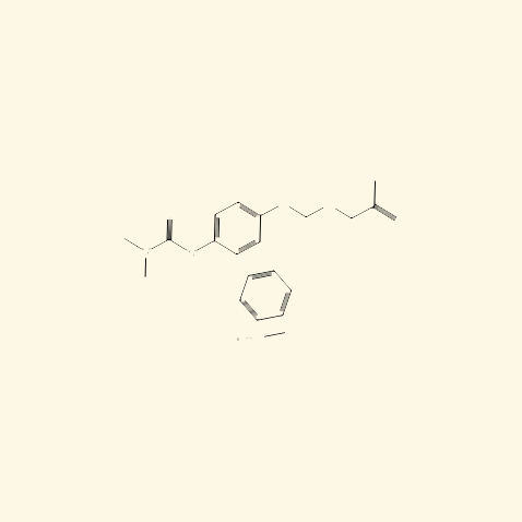 C=C(C)COCOc1ccc(NC(=O)N(C)C)cc1.CCCCCC.c1ccccc1